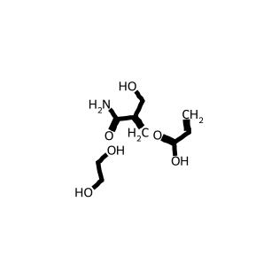 C=C(CO)C(N)=O.C=CC(=O)O.OCCO